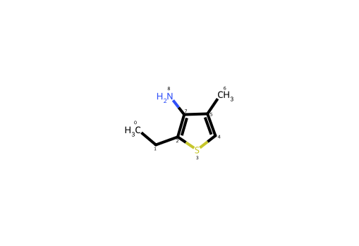 CCc1scc(C)c1N